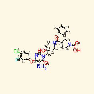 Nc1c(Oc2ccc(Cl)c(F)c2)ncn(CC2(O)CCN(C(=O)[C@@H]3CCN(C(=O)O)C[C@H]3c3ccccc3)CC2)c1=O